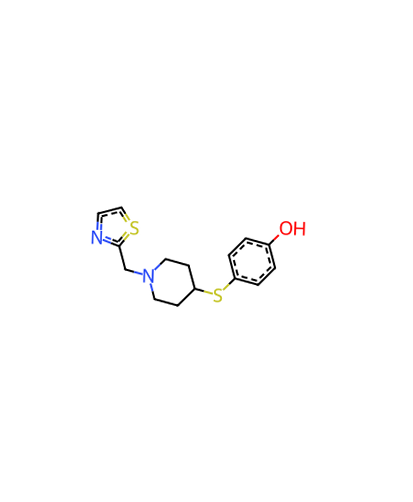 Oc1ccc(SC2CCN(Cc3nccs3)CC2)cc1